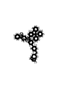 C1=C(N(c2ccc(-c3ccc(CC4CC5CC6CC(C4)C56)cc3)cc2)c2ccc3c(c2)C(c2ccccc2)(c2ccccc2)c2ccccc2-3)NCc2c1oc1ccccc21